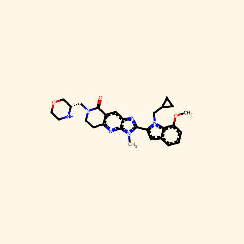 COc1cccc2cc(-c3nc4cc5c(nc4n3C)CCN(C[C@H]3COCCN3)C5=O)n(CC3CC3)c12